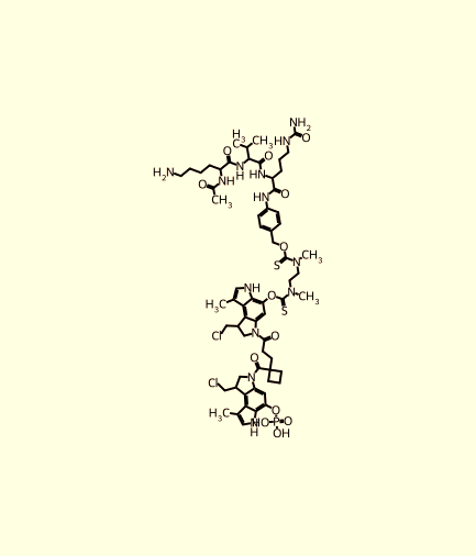 CC(=O)NC(CCCCN)C(=O)NC(C(=O)NC(CCCNC(N)=O)C(=O)Nc1ccc(COC(=S)N(C)CCN(C)C(=S)Oc2cc3c(c4c(C)c[nH]c24)C(CCl)CN3C(=O)CCC2(C(=O)N3CC(CCl)c4c3cc(OP(=O)(O)O)c3[nH]cc(C)c43)CCC2)cc1)C(C)C